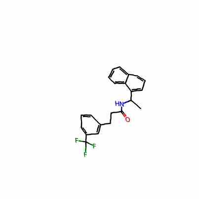 CC(NC(=O)CCc1cccc(C(F)(F)F)c1)c1cccc2ccccc12